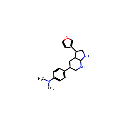 CN(C)c1ccc(C2CNC3NCC(c4ccoc4)C3C2)cc1